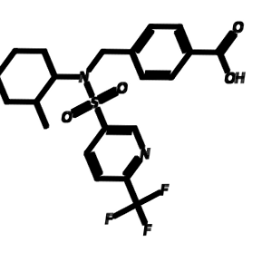 CC1CCCCC1N(Cc1ccc(C(=O)O)cc1)S(=O)(=O)c1ccc(C(F)(F)F)nc1